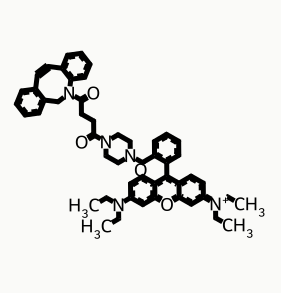 CCN(CC)c1ccc2c(-c3ccccc3C(=O)N3CCN(C(=O)CCC(=O)N4Cc5ccccc5C#Cc5ccccc54)CC3)c3ccc(=[N+](CC)CC)cc-3oc2c1